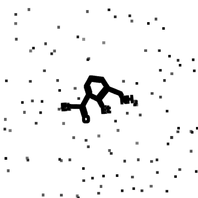 CCC(=O)c1cccc(CN)c1CC